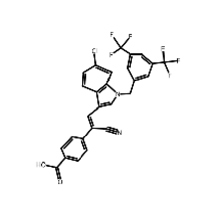 N#CC(=Cc1cn(Cc2cc(C(F)(F)F)cc(C(F)(F)F)c2)c2cc(Cl)ccc12)c1ccc(C(=O)O)cc1